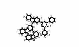 C1=C(c2ccccc2)NC(c2ccccc2)N=C1c1ccc2c3ccccc3n(-c3cc(-c4cccc5sc6ccccc6c45)c4sc5ccccc5c4c3)c2c1